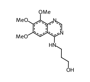 COc1cc2c(NCCCO)ncnc2c(OC)c1OC